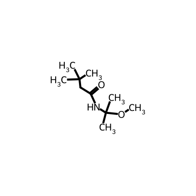 COC(C)(C)NC(=O)CC(C)(C)C